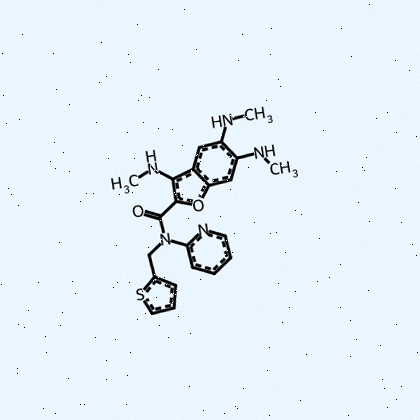 CNc1cc2oc(C(=O)N(Cc3cccs3)c3ccccn3)c(NC)c2cc1NC